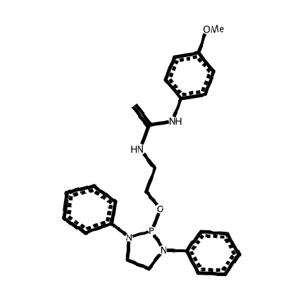 C=C(NCCOP1N(c2ccccc2)CCN1c1ccccc1)Nc1ccc(OC)cc1